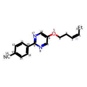 CC/C=C\CCOc1cnc(-c2ccc(C#N)cc2)nc1